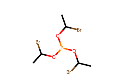 CC(Br)OP(OC(C)Br)OC(C)Br